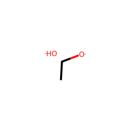 CC[O].[OH]